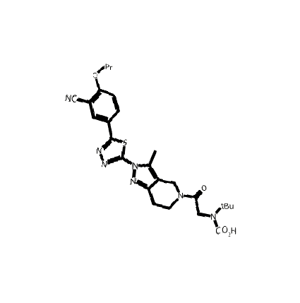 Cc1c2c(nn1-c1nnc(-c3ccc(OC(C)C)c(C#N)c3)s1)CCN(C(=O)CN(C(=O)O)C(C)(C)C)C2